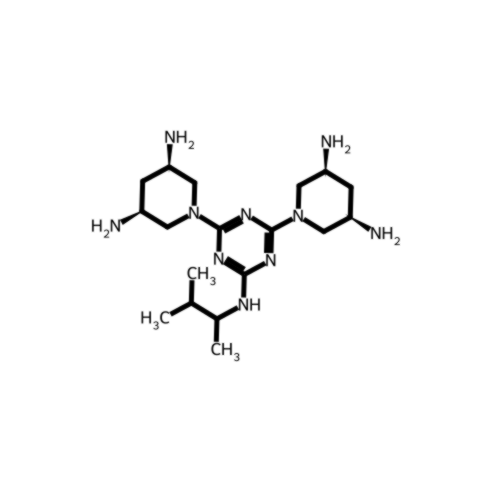 CC(C)C(C)Nc1nc(N2C[C@H](N)C[C@H](N)C2)nc(N2C[C@H](N)C[C@H](N)C2)n1